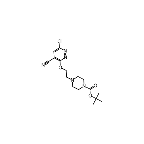 CC(C)(C)OC(=O)N1CCN(CCOc2nnc(Cl)cc2C#N)CC1